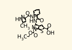 CCOC(=O)n1nc(NC(=O)c2ccccc2NC(=O)c2cc(C)[nH]n2)c2cc(C(=O)O)sc21